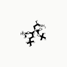 C[C@@H](N)CN(C(=O)OC(C)(C)C)C(CCC(C)(C)C)O[SiH](C)C